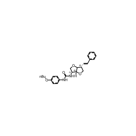 CCCCOc1ccc(NC(=O)N[C@H]2COC3[C@H](C=Cc4ccccc4)CO[C@@H]32)cc1